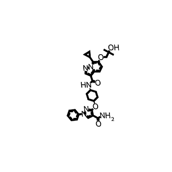 CC(C)(O)COc1ccc2c(C(=O)N[C@H]3CC[C@H](Oc4nn(-c5ccccc5)cc4C(N)=O)CC3)cnn2c1C1CC1